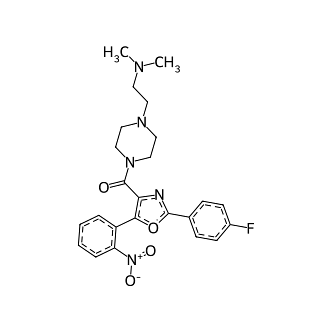 CN(C)CCN1CCN(C(=O)c2nc(-c3ccc(F)cc3)oc2-c2ccccc2[N+](=O)[O-])CC1